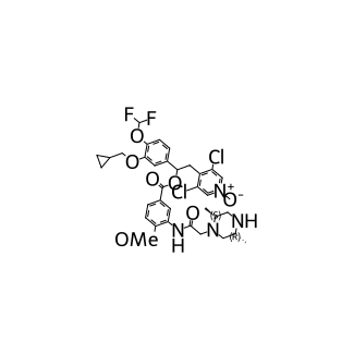 COc1ccc(C(=O)OC(Cc2c(Cl)c[n+]([O-])cc2Cl)c2ccc(OC(F)F)c(OCC3CC3)c2)cc1NC(=O)CN1C[C@@H](C)NC[C@@H]1C